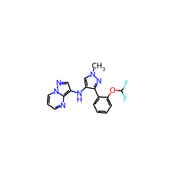 Cn1cc(Nc2cnn3cccnc23)c(-c2ccccc2OC(F)F)n1